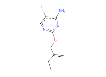 C=C(CC)COc1ncc(F)c(N)n1